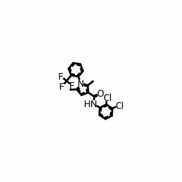 Cc1cc(C(=O)Nc2cccc(Cl)c2Cl)c(C)n1-c1ccccc1C(F)(F)F